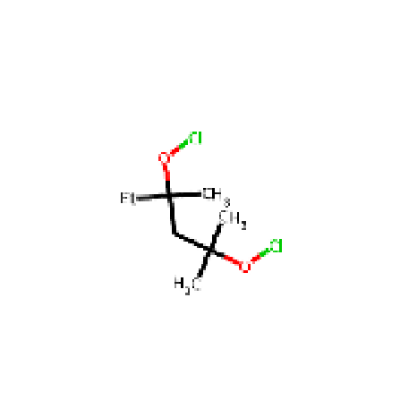 CCC(C)(CC(C)(C)OCl)OCl